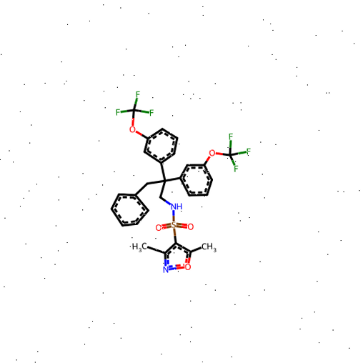 Cc1noc(C)c1S(=O)(=O)NCC(Cc1ccccc1)(c1cccc(OC(F)(F)F)c1)c1cccc(OC(F)(F)F)c1